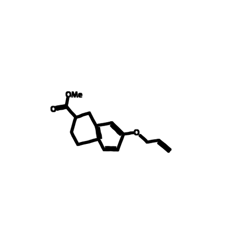 C=CCOc1ccc2c(c1)CC(C(=O)OC)CC2